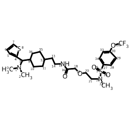 CN(C)C(c1cccs1)C1CCC(CCNC(=O)COCCN(C)S(=O)(=O)c2ccc(OC(F)(F)F)cc2)CC1